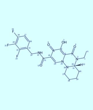 CCN1C(=O)c2c(O)c(=O)c(C(=O)NCc3ccc(F)c(F)c3F)cn2N2CCCC[C@@H]12